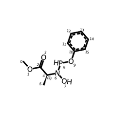 COC(=O)[C@H](C)N(O)POc1ccccc1